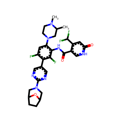 CC1CN(c2cc(F)c(-c3cnc(N4CC5CCC(C4)O5)nc3)c(F)c2NC(=O)c2c[nH]c(=O)cc2C(F)F)CCN1C